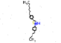 CCCCCCCc1ccc(C2=CNN(c3ccc(CCCCC)cc3)S2)cc1